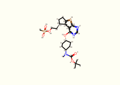 CN(C(=O)OC(C)(C)C)[C@H]1CC[C@H](Oc2ncnc3sc4c(c23)[C@@H](CCOS(C)(=O)=O)CC4)CC1